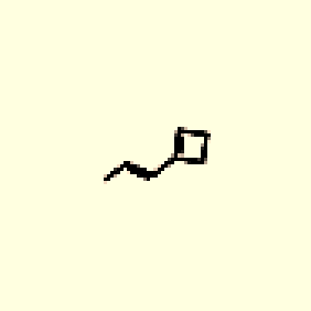 CC=CC1=CCC1